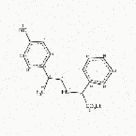 CCOC(=O)C(NCC(c1ccc(C#N)cc1)C(F)(F)F)c1ccccc1